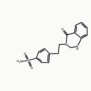 NS(=O)(=O)c1ccc(CCN2CNc3ccccc3C2=O)cc1